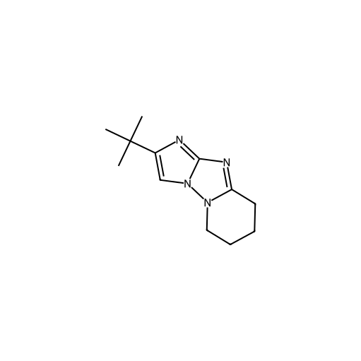 CC(C)(C)c1cn2c(n1)nc1n2CCCC1